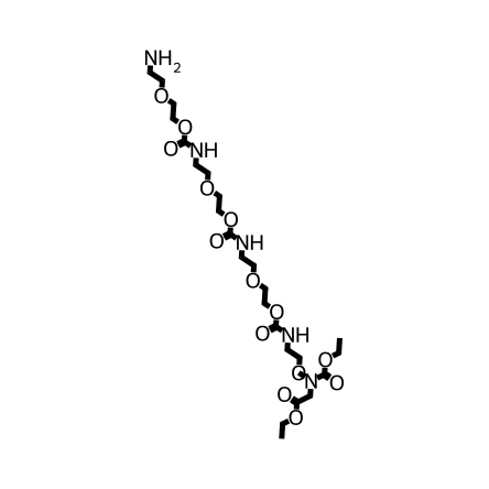 CCOC(=O)CN(OCCNC(=O)OCCOCCNC(=O)OCCOCCNC(=O)OCCOCCN)C(=O)OCC